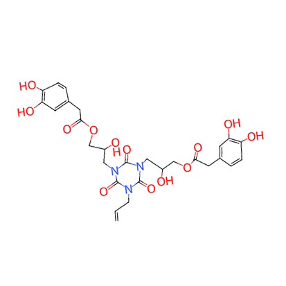 C=CCn1c(=O)n(CC(O)COC(=O)Cc2ccc(O)c(O)c2)c(=O)n(CC(O)COC(=O)Cc2ccc(O)c(O)c2)c1=O